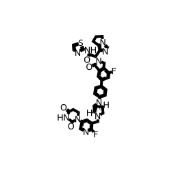 O=C1CCN(c2cnc(F)c(CN3C[C@H]4C[C@@H]3CN4c3ccc(-c4cc(F)c5c(c4)C(=O)N(C(C(=O)Nc4nccs4)c4ncn6c4CCC6)C5)cc3)c2)C(=O)N1